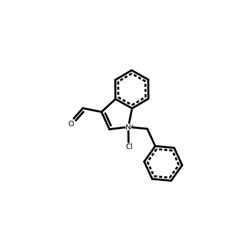 O=CC1=C[N+](Cl)(Cc2ccccc2)c2ccccc21